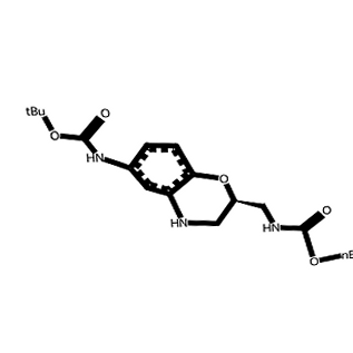 CCCCOC(=O)NC[C@H]1CNc2cc(NC(=O)OC(C)(C)C)ccc2O1